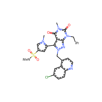 CNS(=O)(=O)c1cc(-c2c3c(=O)n(C)c(=O)n(CC(C)C)c3nn2Cc2ccnc3ccc(Cl)cc23)n(C)c1